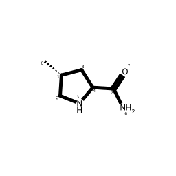 C[C@H]1CNC(C(N)=O)C1